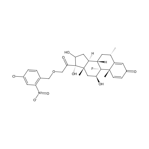 C[C@H]1C[C@H]2[C@@H]3CC(O)[C@](O)(C(=O)COCc4ccc(Cl)cc4[N+](=O)[O-])[C@@]3(C)C[C@H](O)[C@]2(F)[C@@]2(C)C=CC(=O)C=C12